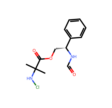 CC(C)(NCl)C(=O)OC[C@@H](NC=O)c1ccccc1